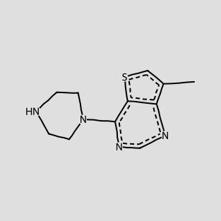 Cc1csc2c(N3CCNCC3)ncnc12